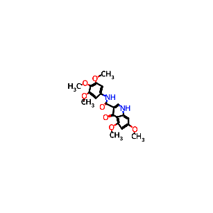 COc1cc(OC)c2c(=O)c(C(=O)Nc3cc(OC)c(OC)c(OC)c3)c[nH]c2c1